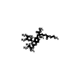 CCCOC(=O)OCC[C@@](N)(Cc1ccc(OC(=O)O[C@@H](C)C(C)C)c(OC(=O)OC(C)C(C)C)c1)C(=O)OC